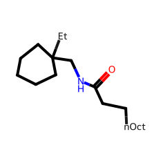 CCCCCCCCCCC(=O)NCC1(CC)CCCCC1